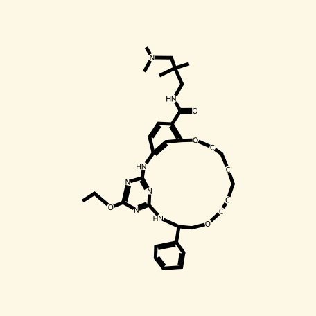 CCOc1nc2nc(n1)NC(c1ccccc1)COCCCCCCOc1cc(ccc1C(=O)NCC(C)(C)CN(C)C)N2